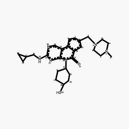 CN1CCN(Cc2ccc3c(c2)c(=O)n(C2CCC(O)CC2)c2nc(NCC4CC4)ncc32)CC1